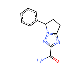 NC(=O)c1nc2n(n1)C(c1ccccc1)CC2